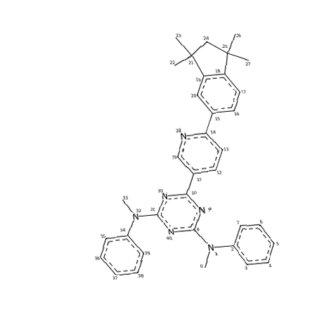 CN(c1ccccc1)c1nc(-c2ccc(-c3ccc4c(c3)C(C)(C)CC4(C)C)nc2)nc(N(C)c2ccccc2)n1